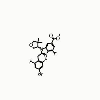 COC(=O)c1cc(F)c2nc(Cc3c(F)cc(Br)cc3F)n(C3COCC3(C)C)c2c1